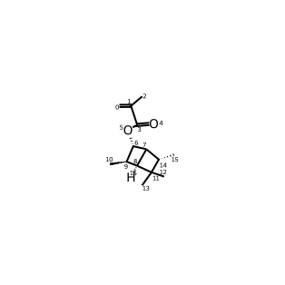 C=C(C)C(=O)O[C@@H]1C2[C@H]([C@H]1C)C(C)(C)[C@H]2C